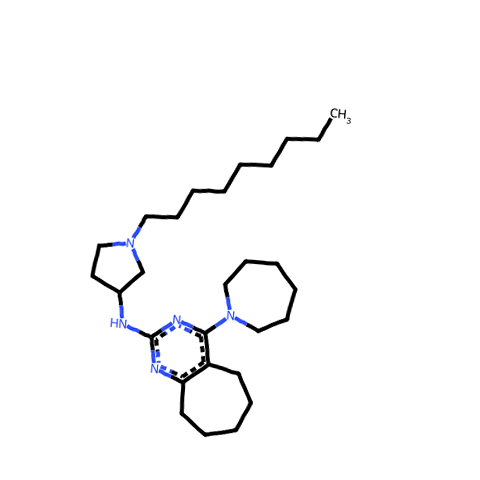 CCCCCCCCCN1CCC(Nc2nc3c(c(N4CCCCCC4)n2)CCCCC3)C1